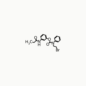 CCC(=O)Nc1cccc(OC(=O)N(CCBr)c2ccccc2)c1